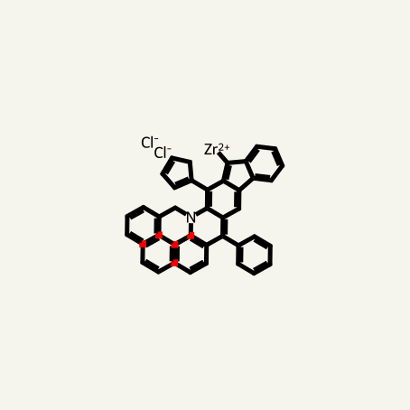 [Cl-].[Cl-].[Zr+2][C]1=c2c(cc(=C(c3ccccc3)c3ccccc3)c(N(Cc3ccccc3)Cc3ccccc3)c2C2=CC=CC2)-c2ccccc21